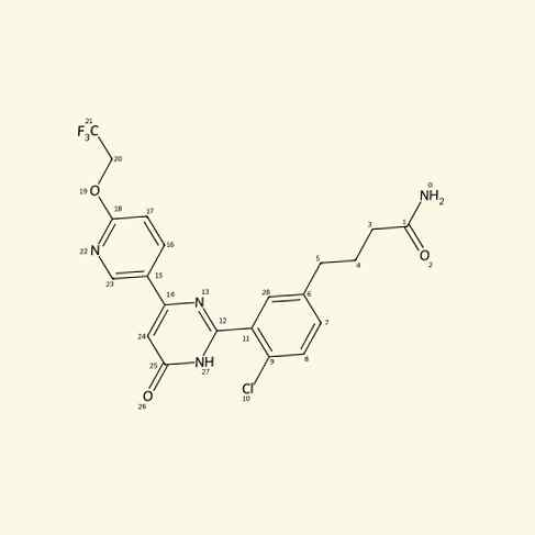 NC(=O)CCCc1ccc(Cl)c(-c2nc(-c3ccc(OCC(F)(F)F)nc3)cc(=O)[nH]2)c1